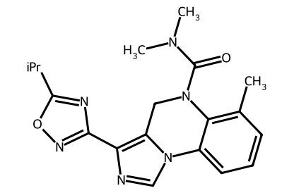 Cc1cccc2c1N(C(=O)N(C)C)Cc1c(-c3noc(C(C)C)n3)ncn1-2